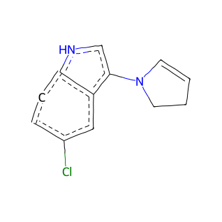 Clc1ccc2[nH]cc(N3C=CCC3)c2c1